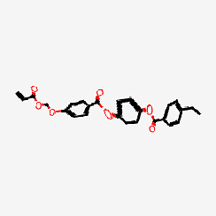 C=CC(=O)OCOc1ccc(C(=O)Oc2ccc(OC(=O)c3ccc(CC)cc3)cc2)cc1